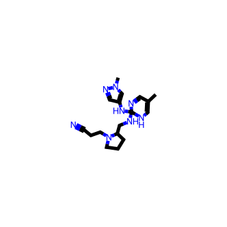 CC1=CNC(NCC2CCCN2CCC#N)(Nc2cnn(C)c2)N=C1